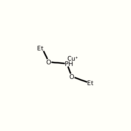 CCOPOCC.[Cu+]